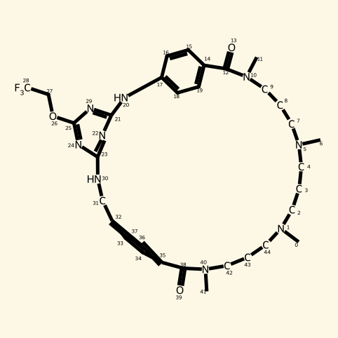 CN1CCCN(C)CCCN(C)C(=O)c2ccc(cc2)Nc2nc(nc(OCC(F)(F)F)n2)NCc2ccc(cc2)C(=O)N(C)CCC1